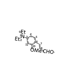 CCN(CC)c1ccc(C=C[C]=O)c(OC)c1